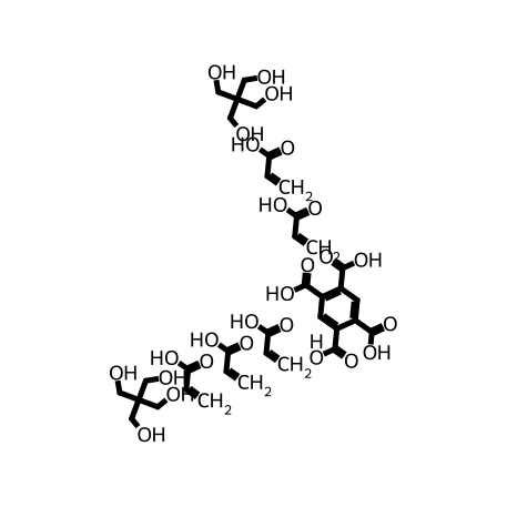 C=CC(=O)O.C=CC(=O)O.C=CC(=O)O.C=CC(=O)O.C=CC(=O)O.O=C(O)c1cc(C(=O)O)c(C(=O)O)cc1C(=O)O.OCC(CO)(CO)CO.OCC(CO)(CO)CO